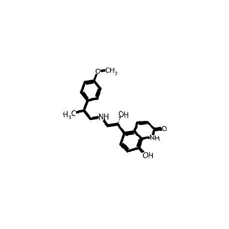 COc1ccc(C(C)CNC[C@H](O)c2ccc(O)c3[nH]c(=O)ccc23)cc1